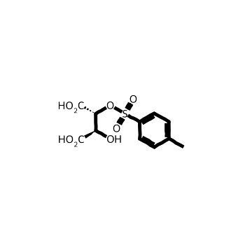 Cc1ccc(S(=O)(=O)O[C@@H](C(=O)O)[C@@H](O)C(=O)O)cc1